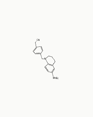 CC(=O)Nc1ccc2c(c1)CCCN2Cc1ccc(CC#N)cc1